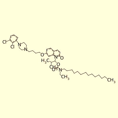 CCCCCCCCCCCCCCN(CC)C(=O)OC(C(C)C)n1c(=O)ccc2ccc(OCCCCN3CCN(c4cccc(Cl)c4Cl)CC3)cc21